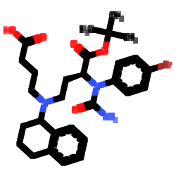 CC(C)(C)OC(=O)[C@H](CCN(CCCC(=O)O)C1CCCc2ccccc21)N(C(N)=O)c1ccc(Br)cc1